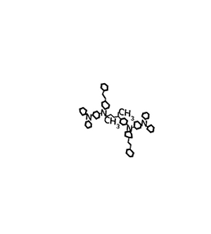 CCC(CCC(C)N(c1ccc(C=Cc2ccccc2)cc1)c1ccc(N(c2ccccc2)c2ccccc2)cc1)c1ccc(N(c2ccc(C=Cc3ccccc3)cc2)c2ccc(N(c3ccccc3)c3ccccc3)cc2)cc1